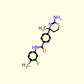 Cc1ccc(NC(=O)c2ccc(C3(C)CCSC(N)=N3)cc2)cc1F